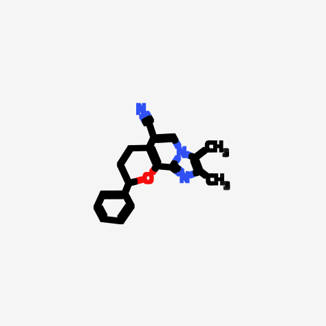 Cc1nc2c3c(c(C#N)cn2c1C)CCC(c1ccccc1)O3